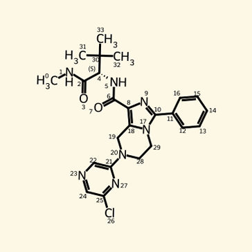 CNC(=O)[C@@H](NC(=O)c1nc(-c2ccccc2)n2c1CN(c1cncc(Cl)n1)CC2)C(C)(C)C